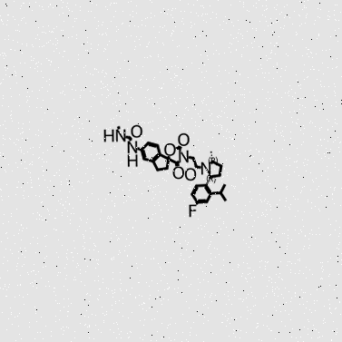 CNC(=O)Nc1ccc2c(c1)CCC21OC(=O)N(CC(=O)N2[C@H](C)CC[C@@H]2c2ccc(F)cc2C(C)C)C1=O